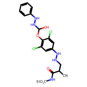 CCOC(=O)NC(=O)C(C#N)CNNc1cc(Cl)c(OC(O)NNc2ccccc2)c(Cl)c1